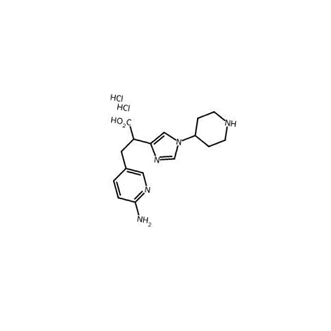 Cl.Cl.Nc1ccc(CC(C(=O)O)c2cn(C3CCNCC3)cn2)cn1